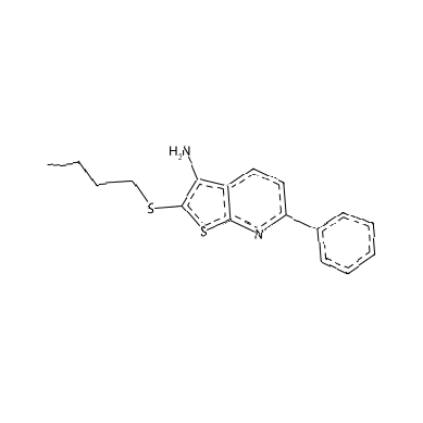 CCCCSc1sc2nc(-c3ccccc3)ccc2c1N